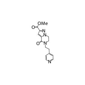 COC(=O)c1cc2n(n1)CCN(CCc1ccncc1)C2=O